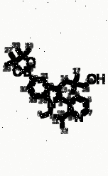 CCn1c(-c2cccnc2C(C)C)c(CC(C)(C)CO)c2cc(B3OC(C)(C)C(C)(C)O3)ccc21